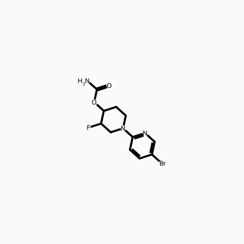 NC(=O)OC1CCN(c2ccc(Br)cn2)CC1F